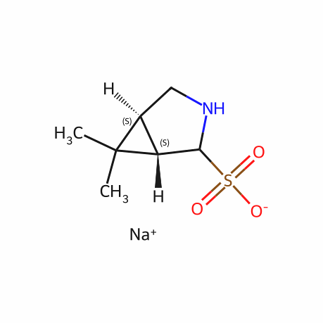 CC1(C)[C@H]2CNC(S(=O)(=O)[O-])[C@@H]21.[Na+]